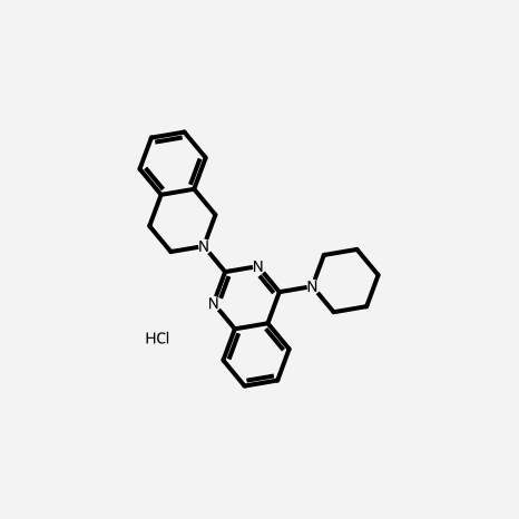 Cl.c1ccc2c(c1)CCN(c1nc(N3CCCCC3)c3ccccc3n1)C2